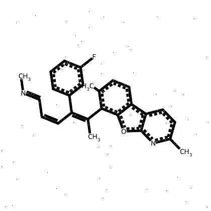 C/N=C/C=C\C(=C(/C)c1c(C)ccc2c1oc1nc(C)ccc12)c1cccc(F)c1